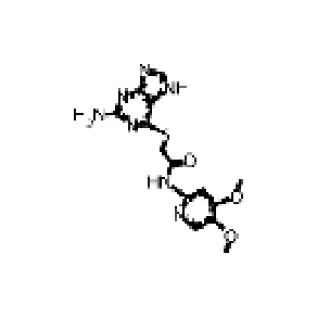 COc1cnc(NC(=O)CSc2nc(N)nc3nc[nH]c23)cc1OC